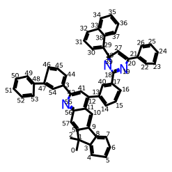 CC1(C)c2ccccc2-c2cc3c(-c4cccc(-c5nc(-c6ccccc6)cc(-c6cccc7ccccc67)n5)c4)cc(-c4cccc(-c5ccccc5)c4)nc3cc21